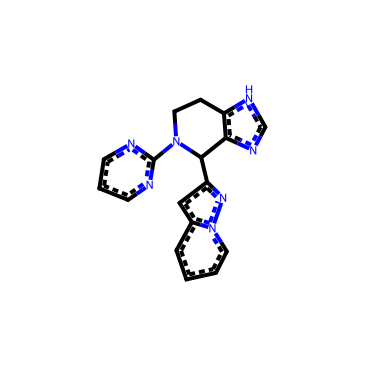 c1cnc(N2CCc3[nH]cnc3C2c2cc3ccccn3n2)nc1